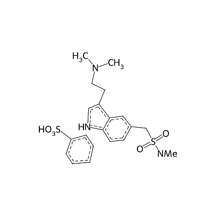 CNS(=O)(=O)Cc1ccc2[nH]cc(CCN(C)C)c2c1.O=S(=O)(O)c1ccccc1